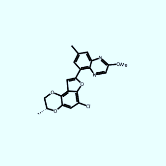 [CH2][C@@H]1COc2c(cc(Cl)c3oc(-c4cc(C)cc5nc(OC)cnc45)cc23)O1